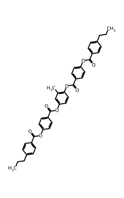 CCCc1ccc(C(=O)Oc2ccc(C(=O)Oc3ccc(OC(=O)c4ccc(OC(=O)c5ccc(CCC)cc5)cc4)c(C)c3)cc2)cc1